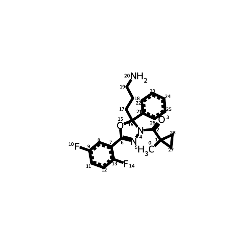 CC1(C(=O)N2N=C(c3cc(F)ccc3F)OC2(CCCN)c2ccccc2)CC1